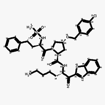 CS(=O)(=O)N[C@H](CCc1ccccc1)C(=O)N1C[C@H](OCc2ccc(Cl)cc2)C[C@H]1C(=O)N[C@@H](CCCCN)C(=O)c1nc2ccccc2o1